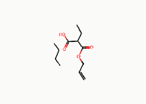 C=CCOC(=O)C(CC)C(=O)O.CCCC